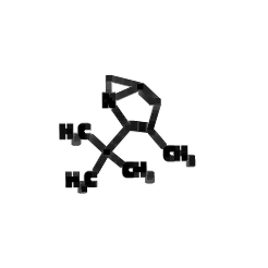 Cc1cc2n(c1C(C)(C)C)C2